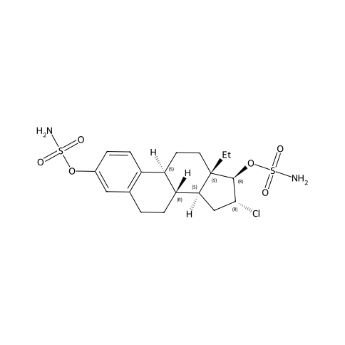 CC[C@]12CC[C@@H]3c4ccc(OS(N)(=O)=O)cc4CC[C@H]3[C@@H]1C[C@@H](Cl)[C@@H]2OS(N)(=O)=O